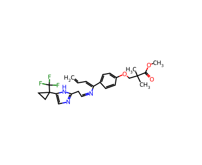 C=C/C=C(\N=C/Cc1ncc(C2(C(F)(F)F)CC2)[nH]1)c1ccc(OCC(C)(C)C(=O)OC)cc1